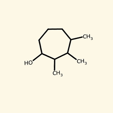 CC1CCCC(O)C(C)C1C